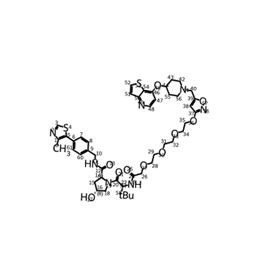 Cc1ncsc1-c1ccc(CNC(=O)[C@@H]2C[C@@H](O)CN2C(=O)[C@@H](NC(=O)COCCOCCOCCOc2cc(CN3CCC(Oc4ccnc5ccsc45)CC3)on2)C(C)(C)C)cc1